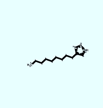 CCCCCCCCCc1c[nH]np1